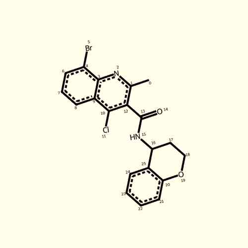 Cc1nc2c(Br)cccc2c(Cl)c1C(=O)NC1CCOc2ccccc21